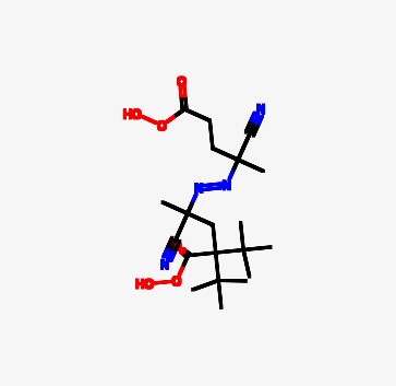 CC(C#N)(CCC(=O)OO)/N=N/C(C)(C#N)CC(C(=O)OO)(C(C)(C)C)C(C)(C)C